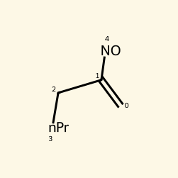 C=C(CCCC)N=O